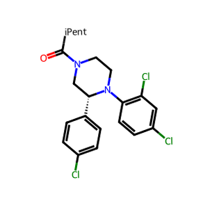 CCCC(C)C(=O)N1CCN(c2ccc(Cl)cc2Cl)[C@H](c2ccc(Cl)cc2)C1